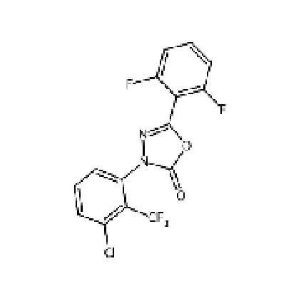 O=c1oc(-c2c(F)cccc2F)nn1-c1cccc(Cl)c1C(F)(F)F